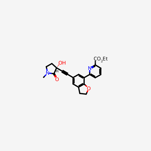 CCOC(=O)c1cccc(-c2cc(C#C[C@]3(O)CCN(C)C3=O)cc3c2OCC3)n1